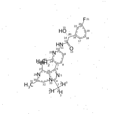 [2H]C([2H])([2H])c1nc(-c2ccc(NC(=O)[C@H](O)c3cccc(F)c3)nc2C)c2c(N)nc(C)cn12